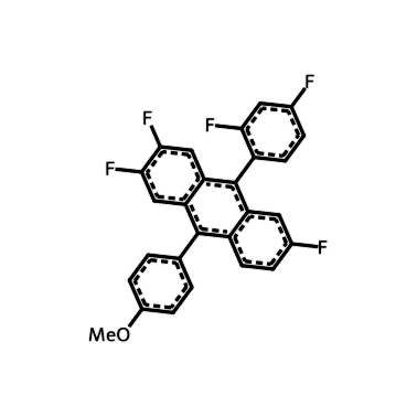 COc1ccc(-c2c3ccc(F)cc3c(-c3ccc(F)cc3F)c3cc(F)c(F)cc23)cc1